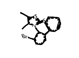 Cc1sc(=S)n(-c2c(Br)cccc2-c2ccccc2)c1C